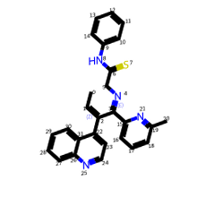 C/C=C(\C(=N/CC(=S)Nc1ccccc1)c1cccc(C)n1)c1ccnc2ccccc12